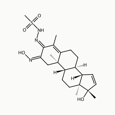 CC1=C2CC[C@@H]3[C@H](CC[C@@]4(C)[C@H]3C=C[C@]4(C)O)[C@@]2(C)CC(=N/O)/C1=N/NS(C)(=O)=O